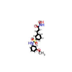 COc1cccc(NS(=O)(=O)c2cccc(/C=C/C(=O)NO)c2)c1